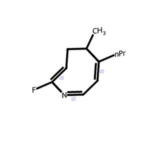 CCC/C1=C/C=N\C(F)=C\CC1C